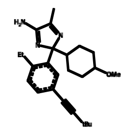 CCc1ccc(C#CC(C)(C)C)cc1C1(C2CCC(OC)CC2)N=C(C)C(N)=N1